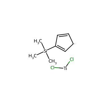 C[Si](C)(C)C1=C[CH]C=C1.[Cl][Ti][Cl]